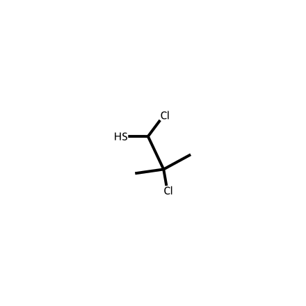 CC(C)(Cl)C(S)Cl